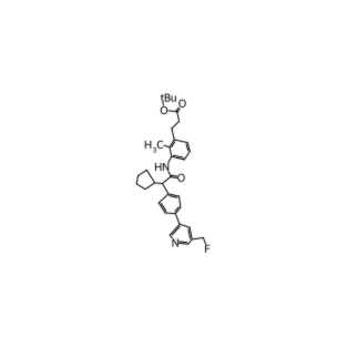 Cc1c(CCC(=O)OC(C)(C)C)cccc1NC(=O)C(c1ccc(-c2cncc(CF)c2)cc1)C1CCCC1